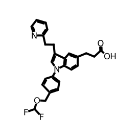 O=C(O)CCc1ccc2c(c1)c(CCc1ccccn1)cn2-c1ccc(COC(F)F)cc1